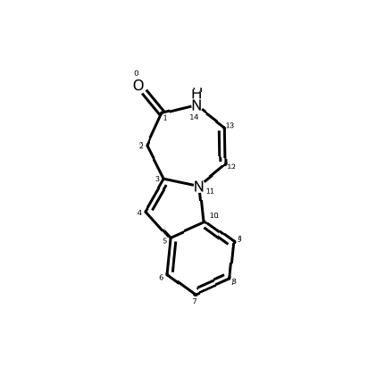 O=C1Cc2cc3ccccc3n2C=CN1